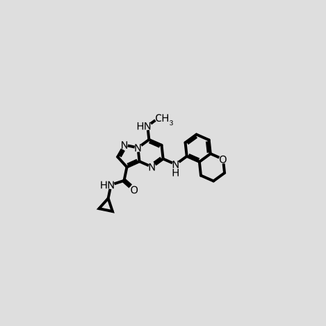 CNc1cc(Nc2cccc3c2CCCO3)nc2c(C(=O)NC3CC3)cnn12